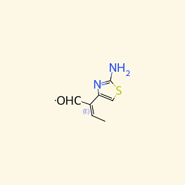 C/C=C(/[C]=O)c1csc(N)n1